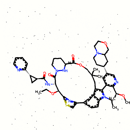 CCO[C@@H]1c2nc(cs2)-c2ccc3c(c2)c(c(-c2cc([C@@H]4CCN5CCOCC5C4)cnc2[C@H](C)OC)n3CC)CC(C)(C)COC(=O)[C@@H]2CCCN(N2)C(=O)[C@H]1NC(=O)[C@H]1C[C@@H]1c1ccccn1